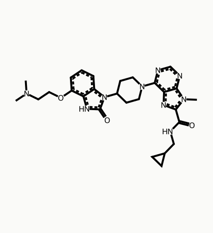 CN(C)CCOc1cccc2c1[nH]c(=O)n2C1CCN(c2ncnc3c2nc(C(=O)NCC2CC2)n3C)CC1